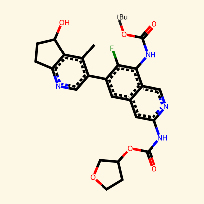 Cc1c(-c2cc3cc(NC(=O)OC4CCOC4)ncc3c(NC(=O)OC(C)(C)C)c2F)cnc2c1C(O)CC2